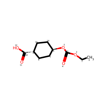 CCOC(=O)O[C@H]1CC[C@H](C(=O)O)CC1